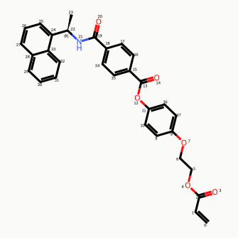 C=CC(=O)OCCOc1ccc(OC(=O)c2ccc(C(=O)N[C@H](C)c3cccc4ccccc34)cc2)cc1